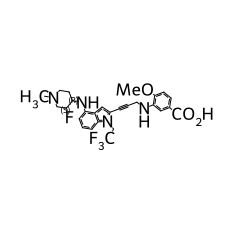 COc1ccc(C(=O)O)cc1NCC#Cc1cc2c(N[C@@H]3CCN(C)C[C@@H]3F)cccc2n1CC(F)(F)F